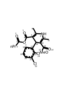 CCCC(=O)OC(=O)C1=C(C)NC(C)=C(C(=O)OC)C1c1cccc(Cl)c1Cl